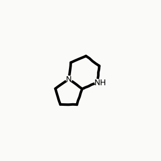 C1CN[C]2CCCN2C1